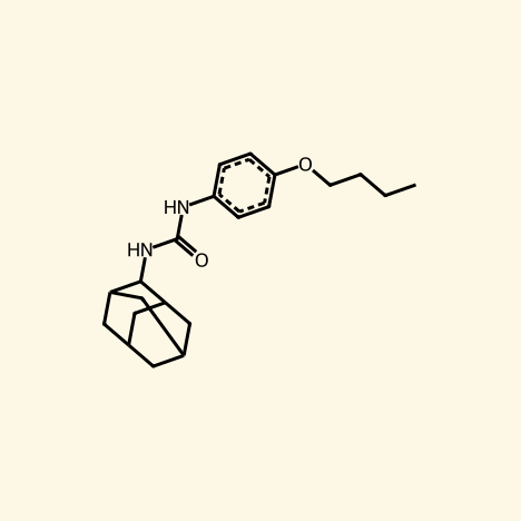 CCCCOc1ccc(NC(=O)NC2C3CC4CC(C3)CC2C4)cc1